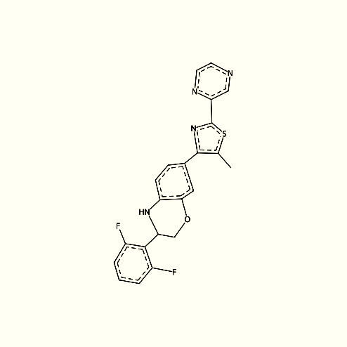 Cc1sc(-c2cnccn2)nc1-c1ccc2c(c1)OCC(c1c(F)cccc1F)N2